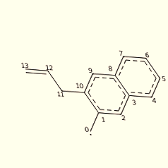 [CH2]c1cc2ccccc2cc1CC=C